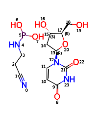 N#CCCNP(O)O.O=c1ccn([C@H]2C[C@H](O)[C@@H](CO)O2)c(=O)[nH]1